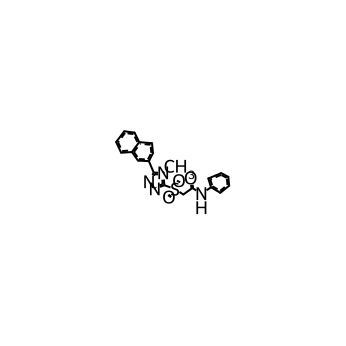 Cn1c(-c2ccc3ccccc3c2)nnc1S(=O)(=O)CC(=O)Nc1ccccc1